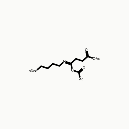 CCCCCCCCCCCCCCN=C(CCC(=O)OC(C)=O)OC(=O)C(C)=O